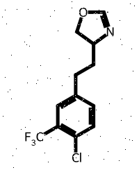 FC(F)(F)c1cc(CCC2CO[C]=N2)ccc1Cl